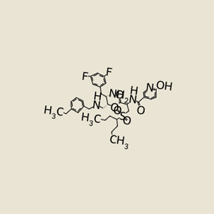 CCCC(CCC)S(=O)(=O)CC(NC(=O)c1ccc(O)nc1)C(=O)O[C@H](CNCc1cccc(CC)c1)[C@@H](N)Cc1cc(F)cc(F)c1